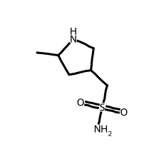 CC1CC(CS(N)(=O)=O)CN1